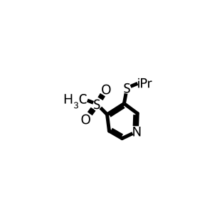 CC(C)Sc1cnccc1S(C)(=O)=O